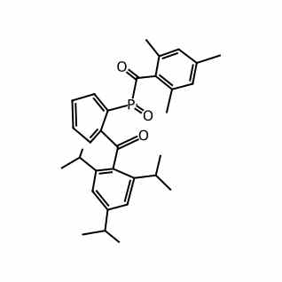 Cc1cc(C)c(C(=O)[P](=O)c2ccccc2C(=O)c2c(C(C)C)cc(C(C)C)cc2C(C)C)c(C)c1